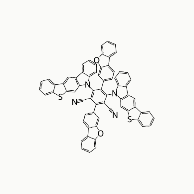 N#Cc1c(-c2ccc3c(c2)oc2ccccc23)c(C#N)c(-n2c3ccccc3c3cc4c(cc32)sc2ccccc24)c(-c2ccc3c(c2)oc2ccccc23)c1-n1c2ccccc2c2cc3c(cc21)sc1ccccc13